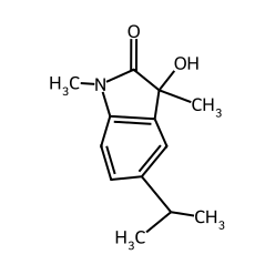 CC(C)c1ccc2c(c1)C(C)(O)C(=O)N2C